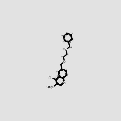 CCOC(=O)c1cnc2ccc(COCCOCc3ccccc3)cc2c1O